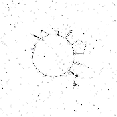 CN[C@H]1CCCCC/C=C\[C@@H]2CC2NC(=O)C2CCCN2C1=O